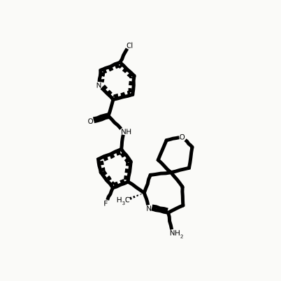 C[C@]1(c2cc(NC(=O)c3ccc(Cl)cn3)ccc2F)CC2(CCOCC2)CCC(N)=N1